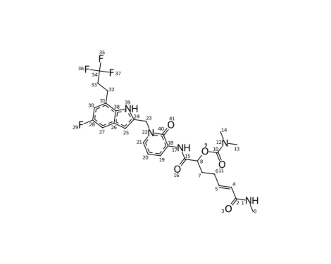 CNC(=O)/C=C/CCC(OC(=O)N(C)C)C(=O)Nc1cccn(Cc2cc3cc(F)cc(CCC(F)(F)F)c3[nH]2)c1=O